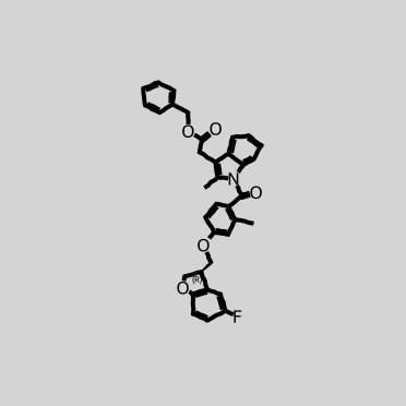 Cc1cc(OC[C@@H]2COc3ccc(F)cc32)ccc1C(=O)n1c(C)c(CC(=O)OCc2ccccc2)c2ccccc21